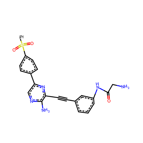 CC(C)S(=O)(=O)c1ccc(-c2cnc(N)c(C#Cc3cccc(NC(=O)CN)c3)n2)cc1